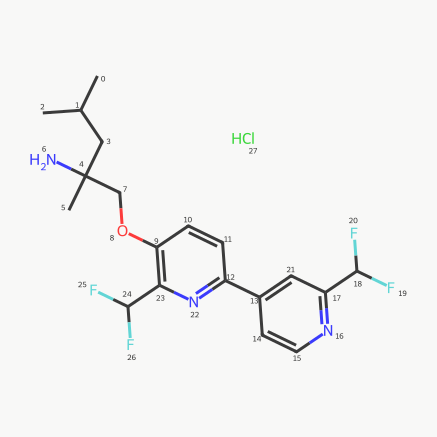 CC(C)CC(C)(N)COc1ccc(-c2ccnc(C(F)F)c2)nc1C(F)F.Cl